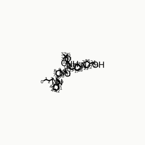 CCCCn1c([C@@H]2CCCN(C(=O)C[C@@H](Cc3ccc(N4CCC(CO)CC4)cc3)NC(=O)OC(C)(C)C)C2)nc2ccccc21